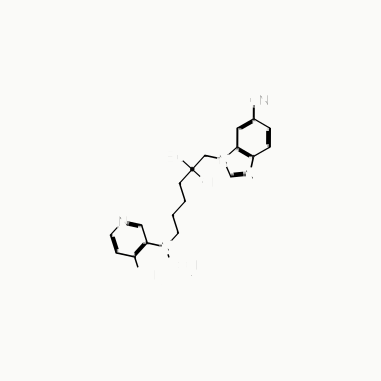 CCC(C)(CCCCN(C(=O)O)c1cnccc1C)Cn1cnc2ccc(C#N)cc21